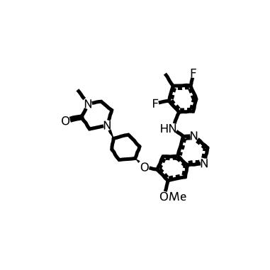 COc1cc2ncnc(Nc3ccc(F)c(C)c3F)c2cc1O[C@H]1CC[C@H](N2CCN(C)C(=O)C2)CC1